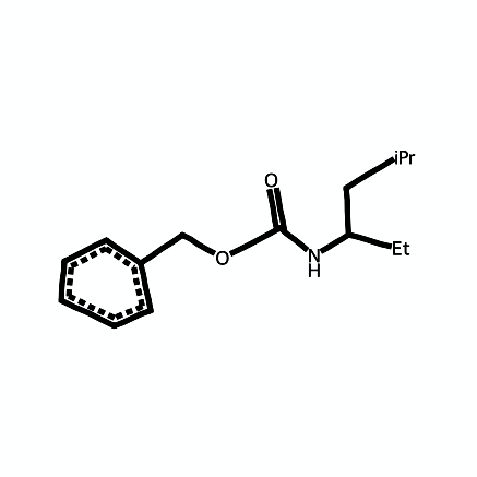 CCC(CC(C)C)NC(=O)OCc1ccccc1